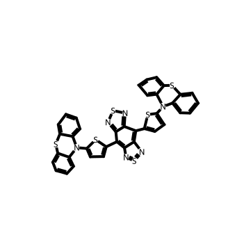 c1ccc2c(c1)Sc1ccccc1N2c1ccc(-c2c3c(c(-c4ccc(N5c6ccccc6Sc6ccccc65)s4)c4nsnc24)N=S=N3)s1